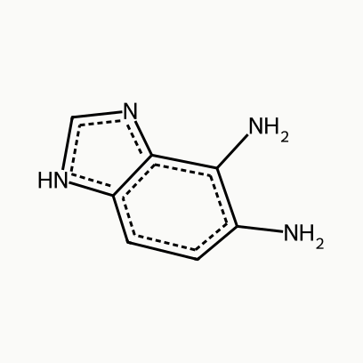 Nc1ccc2[nH]cnc2c1N